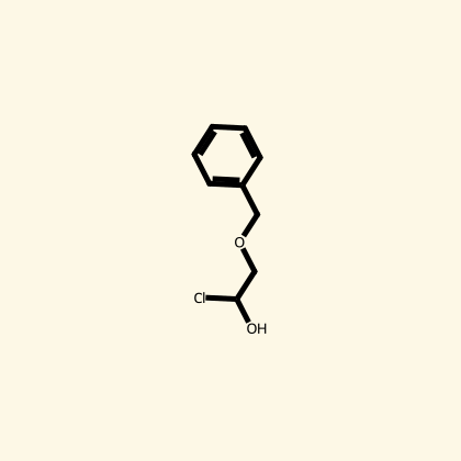 OC(Cl)COCc1ccccc1